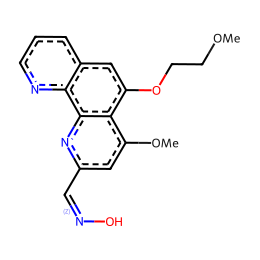 COCCOc1cc2cccnc2c2nc(/C=N\O)cc(OC)c12